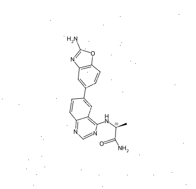 C[C@H](Nc1ncnc2ccc(-c3ccc4oc(N)nc4c3)cc12)C(N)=O